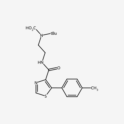 Cc1ccc(-c2scnc2C(=O)NCCN(C(=O)O)C(C)(C)C)cc1